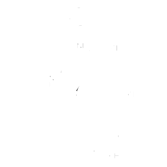 CS(=O)(=O)c1ccc(O[C@@H]2c3cc(Cl)cc(Cl)c3C[C@H]2[C@@H]2NCCCC2C(N)CC(F)(F)F)cc1